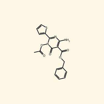 CC(=O)On1c(-c2cccs2)nc(N)c(C(=O)OCc2ccccc2)c1=O